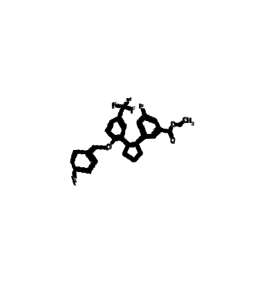 CCOC(=O)c1cc(F)cc(C2=C(c3cc(C(F)(F)F)ccc3OCc3ccc(F)cc3)CCC2)c1